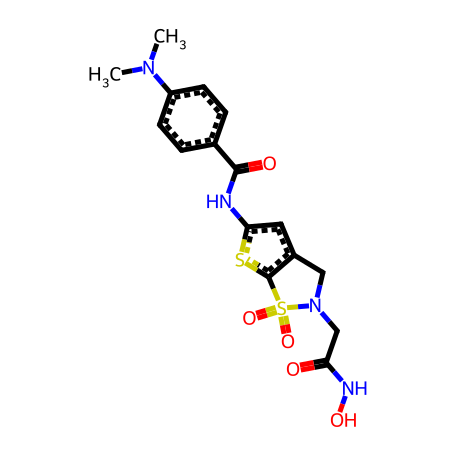 CN(C)c1ccc(C(=O)Nc2cc3c(s2)S(=O)(=O)N(CC(=O)NO)C3)cc1